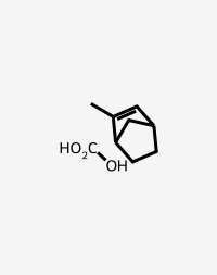 CC1=CC2CCC1C2.O=C(O)O